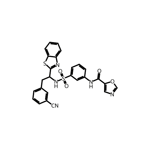 N#Cc1cccc(CC(NS(=O)(=O)c2cccc(NC(=O)c3cnco3)c2)c2nc3ccccc3s2)c1